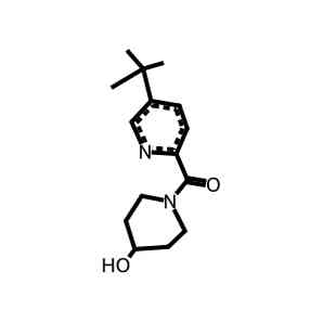 CC(C)(C)c1ccc(C(=O)N2CCC(O)CC2)nc1